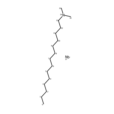 CCCCCCCCCCCCCCN(C)C.[Nb]